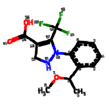 COC(C)c1ccccc1N1NCC(C(=O)O)=C1C(F)(F)F